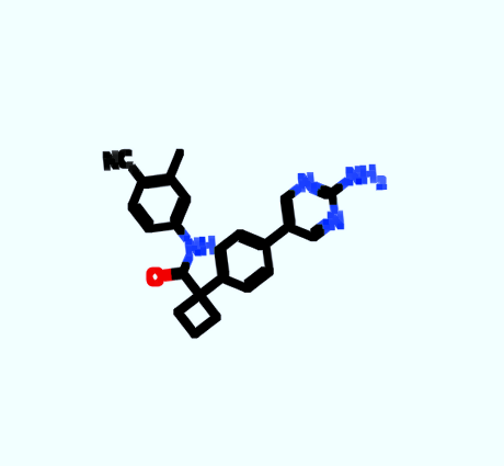 Cc1cc(NC(=O)C2(c3ccc(-c4cnc(N)nc4)cc3)CCC2)ccc1C#N